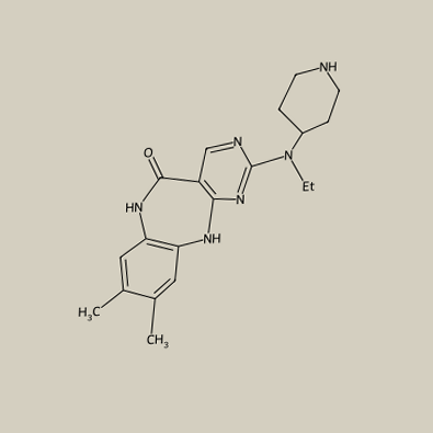 CCN(c1ncc2c(n1)Nc1cc(C)c(C)cc1NC2=O)C1CCNCC1